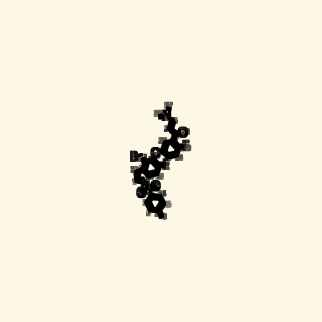 Cc1ccc(S(=O)(=O)n2ccc3c(Br)c(Oc4ccc(F)c(C(=O)/C=C/N(C)C)c4)c(F)cc32)cc1